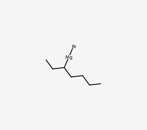 CCCC[CH](CC)[Mg][Br]